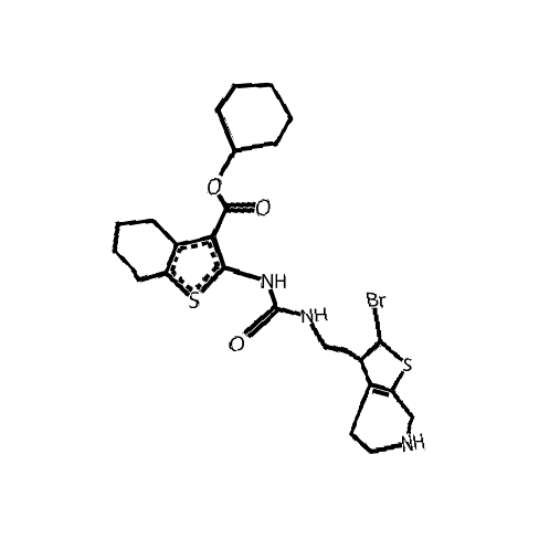 O=C(NCC1C2=C(CNCC2)SC1Br)Nc1sc2c(c1C(=O)OC1CCCCC1)CCCC2